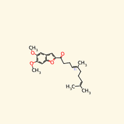 COc1cc2cc(C(=O)CC/C=C(\C)CCC=C(C)C)oc2cc1OC